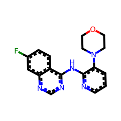 Fc1ccc2c(Nc3ncccc3N3CCOCC3)ncnc2c1